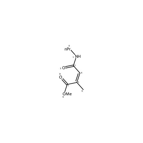 CCCNC(=O)/C=C(/C)C(=O)OC